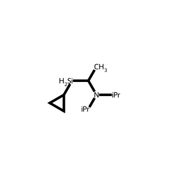 CC(C)N(C(C)C)C(C)[SiH2]C1CC1